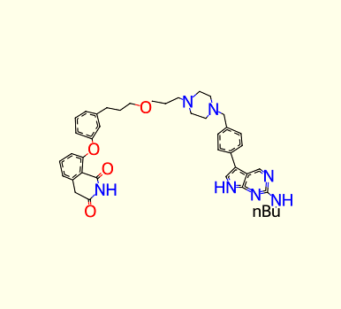 CCCCNc1ncc2c(-c3ccc(CN4CCN(CCCOCCCc5cccc(Oc6cccc7c6C(=O)NC(=O)C7)c5)CC4)cc3)c[nH]c2n1